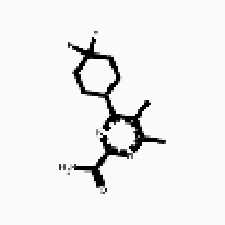 Cc1nc(C(N)=O)nc(C2CCC(F)(F)CC2)c1C